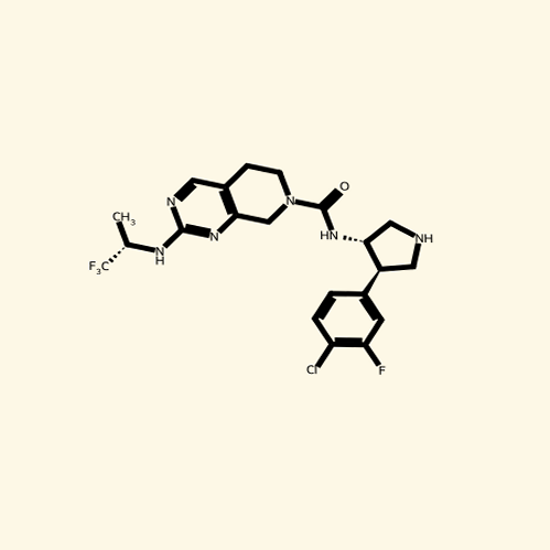 C[C@H](Nc1ncc2c(n1)CN(C(=O)N[C@@H]1CNC[C@H]1c1ccc(Cl)c(F)c1)CC2)C(F)(F)F